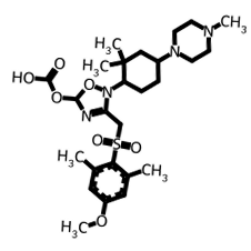 COc1cc(C)c(S(=O)(=O)CC2=NC(OC(=O)O)ON2C2CCC(N3CCN(C)CC3)CC2(C)C)c(C)c1